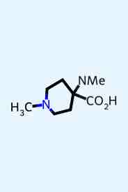 CNC1(C(=O)O)CCN(C)CC1